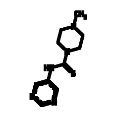 CN1CCN(C(=S)Nc2cncnc2)CC1